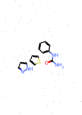 NC(=O)Nc1ccccc1.c1ccsc1.c1cn[nH]c1